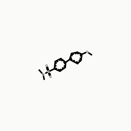 COc1ccc(-c2ccc(S(=O)(=O)[N+](C)C)cc2)cc1